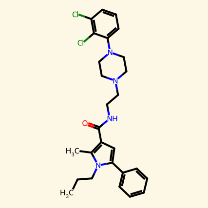 CCCn1c(-c2ccccc2)cc(C(=O)NCCN2CCN(c3cccc(Cl)c3Cl)CC2)c1C